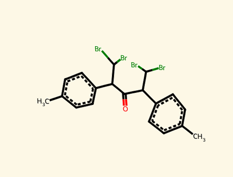 Cc1ccc(C(C(=O)C(c2ccc(C)cc2)C(Br)Br)C(Br)Br)cc1